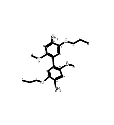 CCCOc1cc(-c2cc(OCCC)c(N)cc2OC)c(OC)cc1N